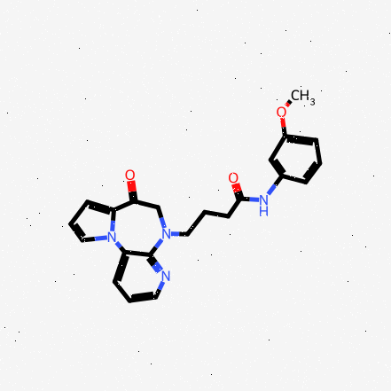 COc1cccc(NC(=O)CCCN2CC(=O)c3cccn3-c3cccnc32)c1